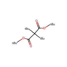 CCCCOC(=O)C(C(=O)OCCCC)(C(C)(C)C)C(C)(C)C